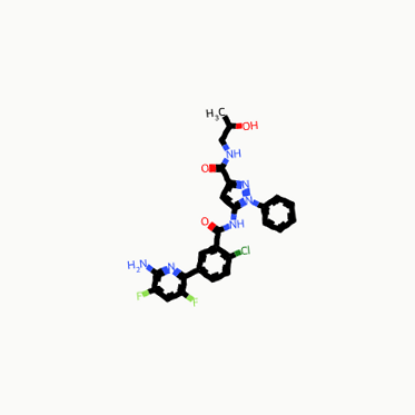 CC(O)CNC(=O)c1cc(NC(=O)c2cc(-c3nc(N)c(F)cc3F)ccc2Cl)n(-c2ccccc2)n1